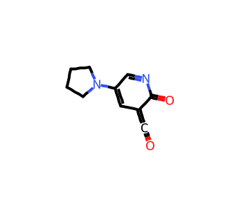 O=C=C1C=C(N2CCCC2)C=NC1=O